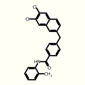 Cc1ccccc1NC(=O)c1ccc(Cc2ccc3cc(Cl)c(Cl)cc3c2)cc1